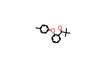 Cc1ccc(Oc2ccccc2C(=O)C(C)(C)C)cc1